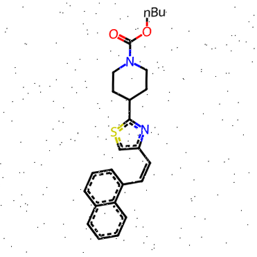 CCCCOC(=O)N1CCC(c2nc(/C=C\c3cccc4ccccc34)cs2)CC1